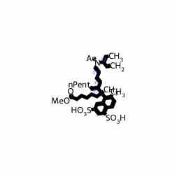 C=C/C(=C\C)N(/C=C/C=C/C(=C\CCCCC)C(C)(CCCCCC(=O)OC)c1c(C)ccc2c(S(=O)(=O)O)cc(S(=O)(=O)O)cc12)C(C)=O